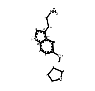 C1CCOC1.COc1ccc2[nH]cc(CCN)c2c1